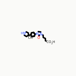 N#CC1(c2ccc(N3CCN(CCCCC(=O)O)C3=O)cc2)CCNCC1